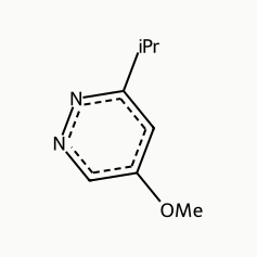 COc1cnnc(C(C)C)c1